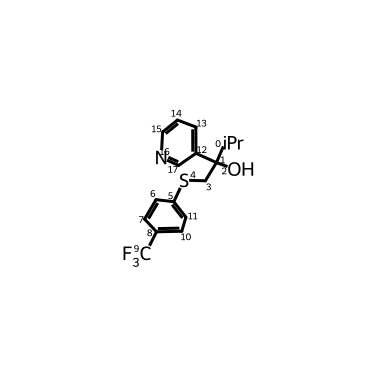 CC(C)C(O)(CSc1ccc(C(F)(F)F)cc1)c1cccnc1